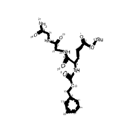 CC(C)(C)OC(=O)CCC(NC(=O)OCc1ccccc1)C(=O)NCC(=O)NCC(N)=O